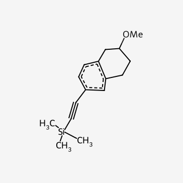 COC1CCc2cc(C#C[Si](C)(C)C)ccc2C1